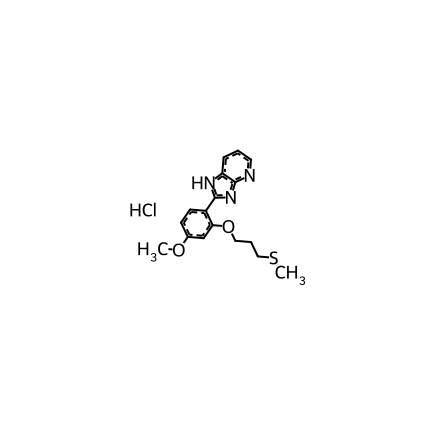 COc1ccc(-c2nc3ncccc3[nH]2)c(OCCCSC)c1.Cl